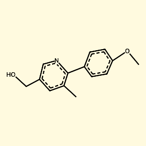 COc1ccc(-c2ncc(CO)cc2C)cc1